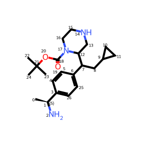 C[C@H](N)c1ccc(C(CC2CC2)C2CNCCN2C(=O)OC(C)(C)C)cc1